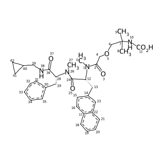 CN(C(=O)COCC(C)(C)NC(=O)O)[C@H](Cc1ccc2ccccc2c1)C(=O)N(C)[C@H](Cc1ccccc1)C(=O)NCC1CC1